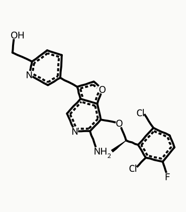 C[C@@H](Oc1c(N)ncc2c(-c3ccc(CO)nc3)coc12)c1c(Cl)ccc(F)c1Cl